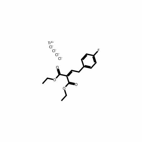 CCOC(=O)C(=CCc1ccc(F)cc1)C(=O)OCC.[Cl-].[Cl-].[Cl-].[Cl-].[Ti+4]